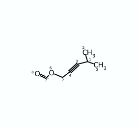 CC(C)C#CCO[C]=O